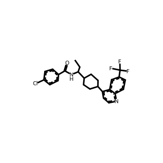 CCC(NC(=O)c1ccc(Cl)cc1)C1CCC(c2ccnc3ccc(C(F)(F)F)cc23)CC1